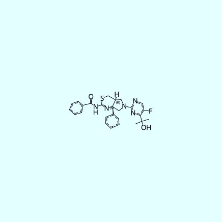 CC(C)(O)c1nc(N2C[C@H]3CSC(NC(=O)c4ccccc4)=N[C@@]3(c3ccccc3)C2)ncc1F